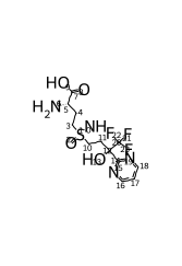 N=S(=O)(CC[C@H](N)C(=O)O)CCC(O)(c1ncccn1)C(F)(F)F